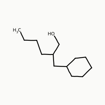 CCCCC(CO)CC1CCCCC1